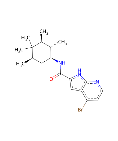 C[C@@H]1[C@@H](NC(=O)c2cc3c(Br)ccnc3[nH]2)C[C@@H](C)C(C)(C)[C@H]1C